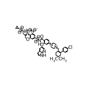 CC1(C)CCC(CN2CCN(c3ccc(C(=O)NS(=O)(=O)c4cc5c(c([N+](=O)[O-])c4)N[C@H](CNS(=O)(=O)C4CC4)CO5)c(Oc4cnc5[nH]ccc5c4)c3)CC2)=C(c2ccc(Cl)cc2)C1